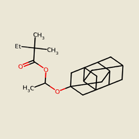 CCC(C)(C)C(=O)OC(C)OC12CC3C4CC5CC3C3(C1)CC4(C2)C3C5